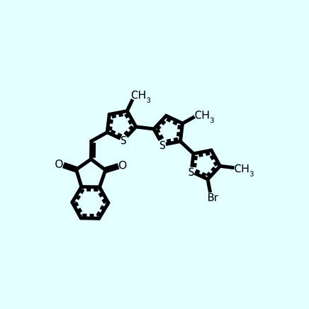 Cc1cc(-c2sc(-c3sc(C=C4C(=O)c5ccccc5C4=O)cc3C)cc2C)sc1Br